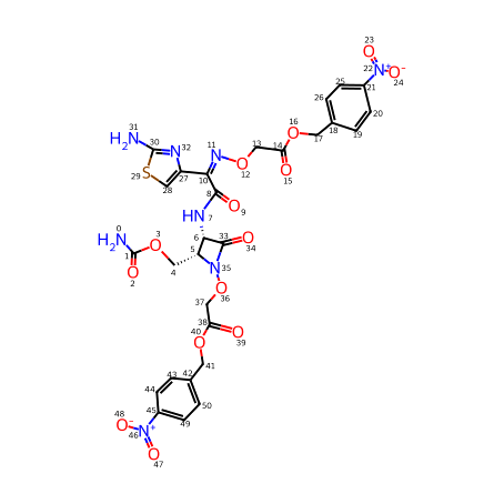 NC(=O)OC[C@@H]1[C@H](NC(=O)C(=NOCC(=O)OCc2ccc([N+](=O)[O-])cc2)c2csc(N)n2)C(=O)N1OCC(=O)OCc1ccc([N+](=O)[O-])cc1